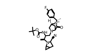 C=C(C(CN1C[C@@H]2CC1C(=O)N2[C@@H](C)c1ccc(F)cc1)NC(=O)OC(C)(C)C)N1C(C#N)CC2CC21